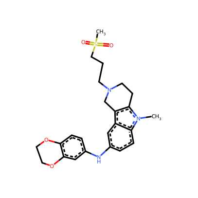 Cn1c2c(c3cc(Nc4ccc5c(c4)OCCO5)ccc31)CN(CCCS(C)(=O)=O)CC2